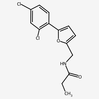 CCC(=O)NCc1ccc(-c2ccc(Cl)cc2Cl)o1